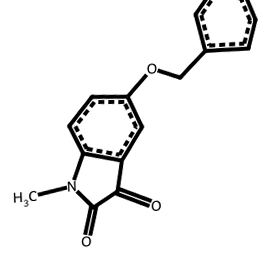 CN1C(=O)C(=O)c2cc(OCc3ccccc3)ccc21